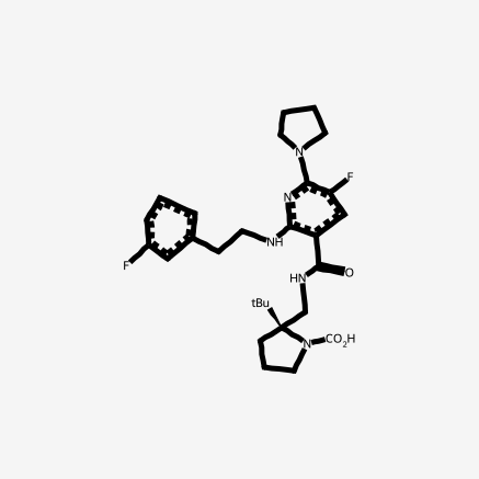 CC(C)(C)[C@]1(CNC(=O)c2cc(F)c(N3CCCC3)nc2NCCc2cccc(F)c2)CCCN1C(=O)O